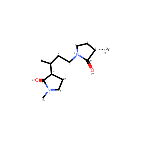 CC(CCN1CC[C@H](C(C)C)C1=O)C1CCN(C)C1=O